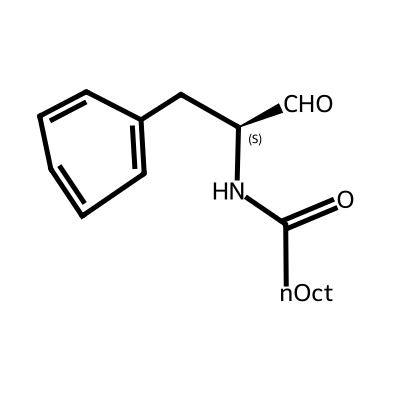 CCCCCCCCC(=O)N[C@H](C=O)Cc1ccccc1